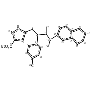 CCOC(=O)c1cc(CC(c2ccc(Cl)cc2)C(C)N(C)c2ccc3ccccc3c2)on1